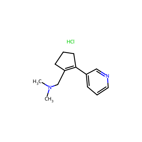 CN(C)CC1=C(c2cccnc2)CCC1.Cl